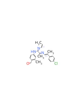 C\C=C/N=C(Nc1ccc(C=O)c(C)c1)\C(C)=N\C=C(/C)c1ccc(Cl)cc1